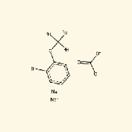 O=C([O-])[O-].[2H]C([2H])([2H])Oc1ccccc1Br.[Na+].[Na+]